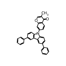 Cc1coc2cc(-n3c4ccc(-c5ccccc5)cc4c4cc(-c5ccccc5)ccc43)ccc2c1=O